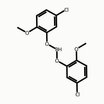 COc1ccc(Cl)cc1OBOc1cc(Cl)ccc1OC